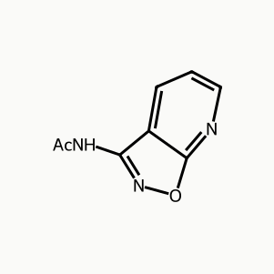 CC(=O)Nc1noc2ncccc12